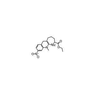 CCOC(=O)C1CCCC2=C(N1)N(C)c1cc([N+](=O)[O-])ccc1C2